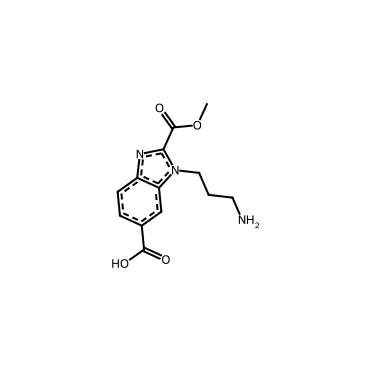 COC(=O)c1nc2ccc(C(=O)O)cc2n1CCCN